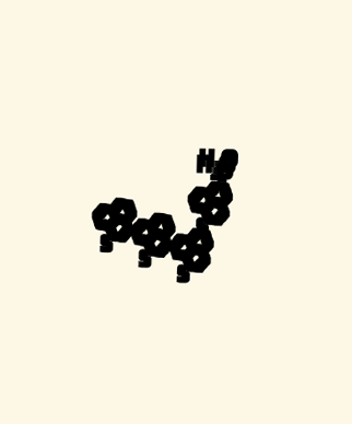 C=O.O.O.S=C1C=Cc2cccc3cccc1c23.S=C1C=Cc2cccc3cccc1c23.S=C1C=Cc2cccc3cccc1c23.S=C1C=Cc2cccc3cccc1c23